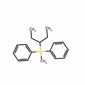 CCC(CC)S(C)(c1ccccc1)c1ccccc1